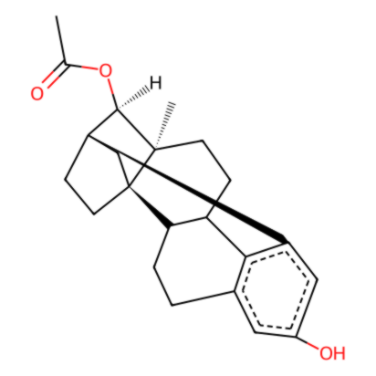 CC(=O)O[C@@H]1[C@@]23c4cc(O)cc5c4C4CC[C@@]1(C)[C@](CC2)(C3)C4CC5